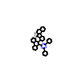 CC1(C)c2ccc3ccccc3c2-c2cccc(-c3c(-c4nc(-c5ccccc5)nc(-c5ccccc5)n4)c4ccccc4c4ccccc34)c21